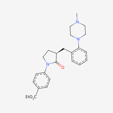 CCOC(=O)c1ccc(N2CC[C@@H](Cc3ccccc3N3CCN(C)CC3)C2=O)cc1